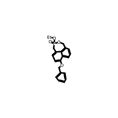 CCOP1(=O)Cc2ccc(OCc3ccccc3)c3cccc(c23)CO1